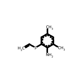 C=CSc1cc(C)cc(C)c1N